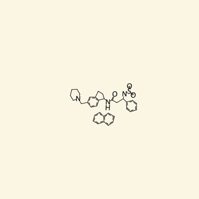 O=C(CC(N=S(=O)=O)c1ccccc1)NC1CCc2cc(CN3CCCCC3)ccc21.c1ccc2ccccc2c1